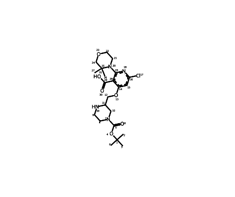 CC(C)(C)OC(=O)N1CCNC(COc2cc(Cl)nc(N3CCOCC3(C)C)c2C(=O)O)C1